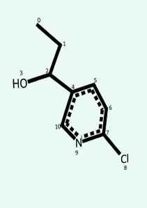 CCC(O)c1ccc(Cl)nc1